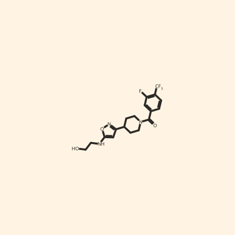 O=C(c1ccc(C(F)(F)F)c(F)c1)N1CCC(c2cc(NCCO)on2)CC1